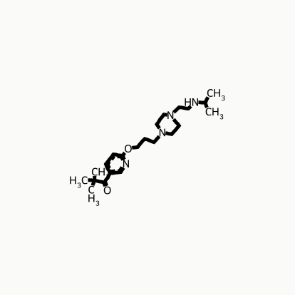 CC(C)NCCN1CCN(CCCOc2ccc(C(=O)C(C)(C)C)cn2)CC1